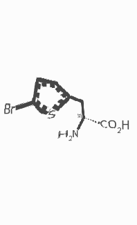 N[C@H](Cc1ccc(Br)s1)C(=O)O